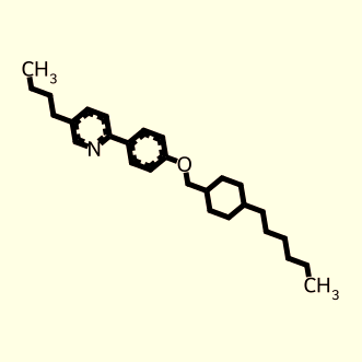 CCCCCCC1CCC(COc2ccc(-c3ccc(CCCC)cn3)cc2)CC1